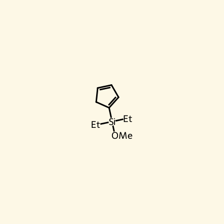 CC[Si](CC)(OC)C1=CC=CC1